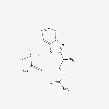 NC(=O)CC[C@H](N)c1nc2ccccc2s1.O=C(O)C(F)(F)F